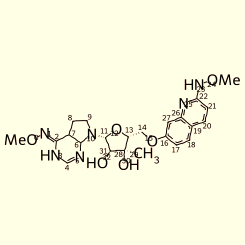 CO/N=C1\NC=NC2C1CCN2[C@@H]1O[C@H](COc2ccc3ccc(NOC)nc3c2)[C@@](C)(O)[C@H]1O